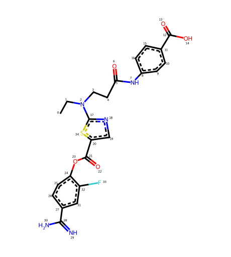 CCN(CCC(=O)Nc1ccc(C(=O)O)cc1)c1ncc(C(=O)Oc2ccc(C(=N)N)cc2F)s1